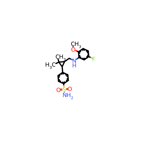 COc1ccc(F)cc1NCC1C(c2ccc(S(N)(=O)=O)cc2)C1(C)C